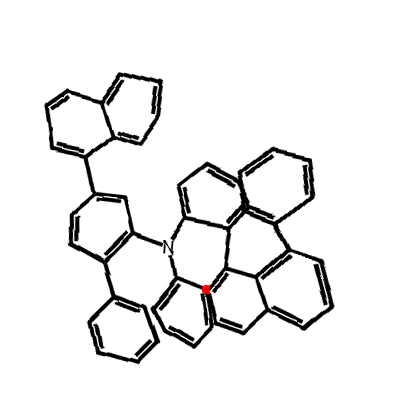 c1ccc(-c2ccc(-c3cccc4ccccc34)cc2N(c2ccccc2)c2ccccc2-c2cccc3cccc(-c4ccccc4)c23)cc1